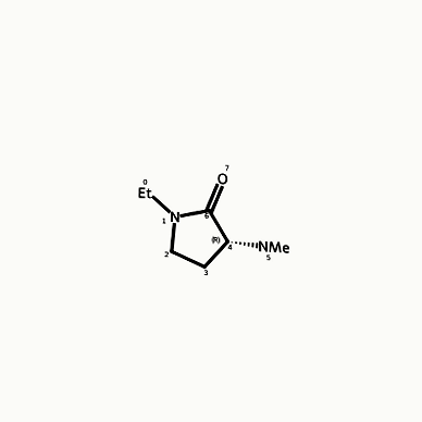 CCN1CC[C@@H](NC)C1=O